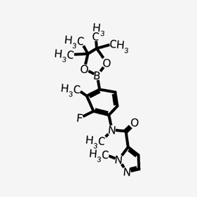 Cc1c(B2OC(C)(C)C(C)(C)O2)ccc(N(C)C(=O)c2ccnn2C)c1F